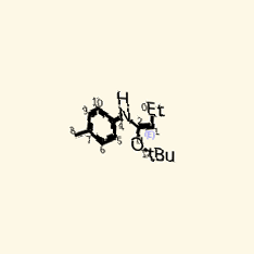 CC/C=C(\Nc1ccc(C)cc1)OC(C)(C)C